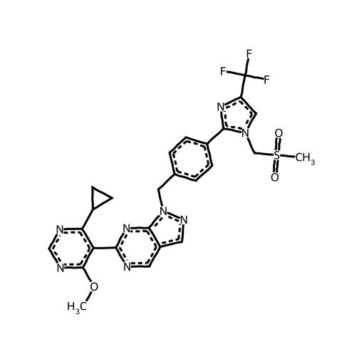 COc1ncnc(C2CC2)c1-c1ncc2cnn(Cc3ccc(-c4nc(C(F)(F)F)cn4CS(C)(=O)=O)cc3)c2n1